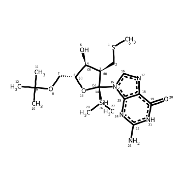 CSC[C@@H]1[C@H](O)[C@@H](COC(C)(C)C)O[C@]1(n1cnc2c(=O)[nH]c(N)nc21)[SiH](C)C